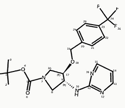 CC(C)(C)OC(=O)N1C[C@@H](Nc2ncccn2)[C@H](OCc2ccc(C(F)(F)F)cc2)C1